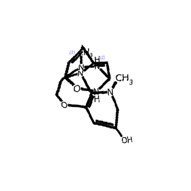 CN1CC(O)=CC2=C1N(C1=C\C3NOC(/C=C\1)N(C)N3)CCO2